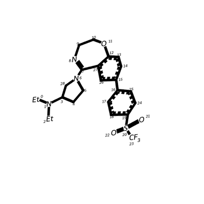 CCN(CC)C1CCN(C2=NCCOc3ccc(-c4ccc(S(=O)(=O)C(F)(F)F)cc4)cc32)C1